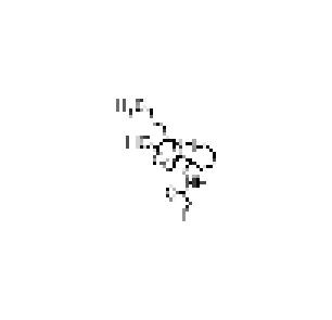 CCCCC(NC(=O)C1(CNC(=O)CI)CCCCC1)C(=O)O